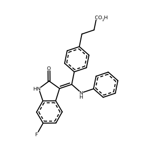 O=C(O)CCc1ccc(C(Nc2ccccc2)=C2C(=O)Nc3cc(F)ccc32)cc1